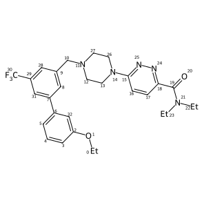 CCOc1cccc(-c2cc(CN3CCN(c4ccc(C(=O)N(CC)CC)nn4)CC3)cc(C(F)(F)F)c2)c1